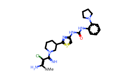 CN/C(N)=C(/Cl)C(=N)N1CCCC(c2nc(NC(=O)Nc3ccccc3N3CCCC3)cs2)C1